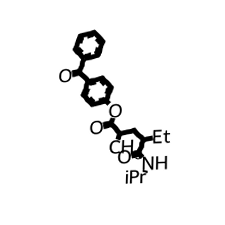 CCC(CC(C)C(=O)Oc1ccc(C(=O)c2ccccc2)cc1)C(=O)NC(C)C